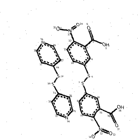 O=C(O)c1cc(SSc2ccc([N+](=O)[O-])c(C(=O)O)c2)ccc1[N+](=O)[O-].c1cc(SSc2ccncc2)ccn1